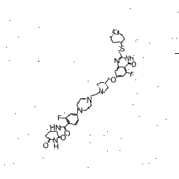 O=C1CCC(NC(=O)c2ccc(N3CCN(CCN4CCC(COc5cc(F)c6c(=O)[nH]c(CSC7CCOCC7)nc6c5)CC4)CC3)cc2F)C(=O)N1